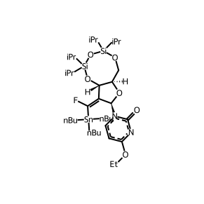 CCC[CH2][Sn]([CH2]CCC)([CH2]CCC)/[C](F)=C1\[C@H](n2ccc(OCC)nc2=O)O[C@@H]2CO[Si](C(C)C)(C(C)C)O[Si](C(C)C)(C(C)C)O[C@@H]12